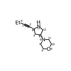 CCC#C[C@@H]1C[C@H](N2CCOCC2)CN1